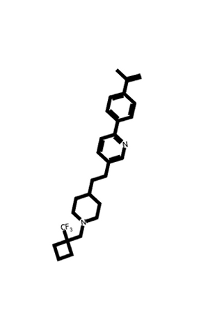 C=C(C)c1ccc(-c2ccc(CCC3CCN(CC4(C(F)(F)F)CCC4)CC3)cn2)cc1